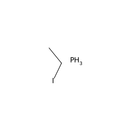 CCI.P